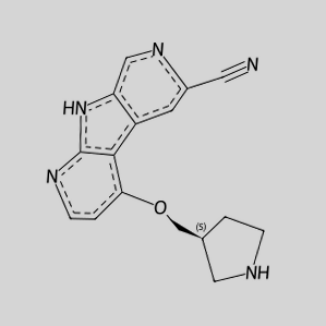 N#Cc1cc2c(cn1)[nH]c1nccc(OC[C@H]3CCNC3)c12